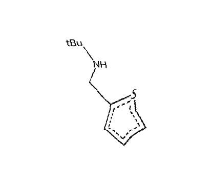 CC(C)(C)NCc1cccs1